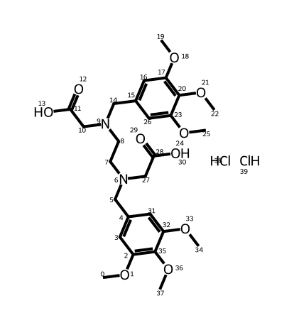 COc1cc(CN(CCN(CC(=O)O)Cc2cc(OC)c(OC)c(OC)c2)CC(=O)O)cc(OC)c1OC.Cl.Cl